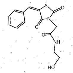 O=C(CN1C(=O)S/C(=C/c2ccccc2)C1=O)NCCO